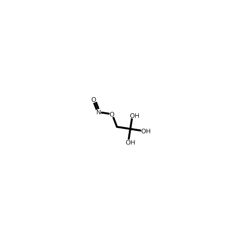 O=NOCC(O)(O)O